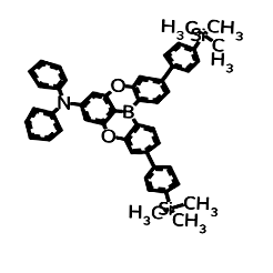 C[Si](C)(C)c1ccc(-c2ccc3c(c2)Oc2cc(N(c4ccccc4)c4ccccc4)cc4c2B3c2ccc(-c3ccc([Si](C)(C)C)cc3)cc2O4)cc1